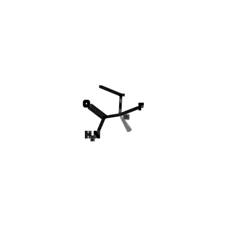 C[CH][C@@](C)(F)C(N)=O